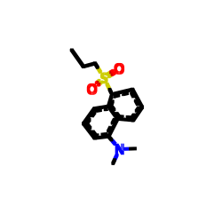 CCCS(=O)(=O)c1cccc2c(N(C)C)cccc12